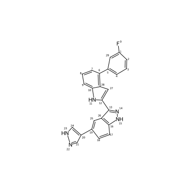 Fc1cccc(-c2cccc3[nH]c(-c4n[nH]c5ccc(-c6cn[nH]c6)cc45)cc23)c1